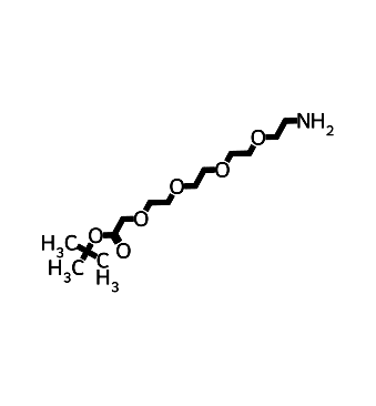 CC(C)(C)OC(=O)COCCOCCOCCOCCN